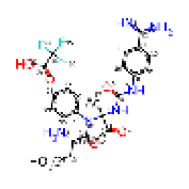 COC(=O)[C@](NC(=O)Nc1ccc(C(=N)N)cc1)(C(C)=O)N(C(=O)[C@@H](N)CC(=O)O)c1ccccc1.O=C(O)C(F)(F)F